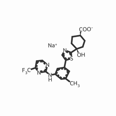 Cc1cc(Nc2nccc(C(F)(F)F)n2)cc(-c2cnc([C@]3(O)CC[C@@H](C(=O)[O-])CC3)s2)c1.[Na+]